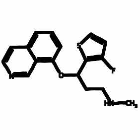 CNCCC(Oc1cccc2ccncc12)c1sccc1F